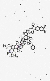 C=C(F)/C(F)=C\c1cc2c(cc1C)C(=O)/C(=C\c1cc3sc4c(c3s1)C(C(=O)OCc1ccccc1)(C(=O)OCc1ccccc1)Oc1c-4sc3cc(C=C4C(=O)c5cc6cc(F)c(F)cc6cc5C4=O)sc13)C2=O